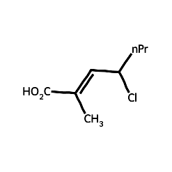 CCCC(Cl)C=C(C)C(=O)O